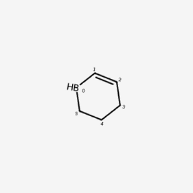 B1C=CCCC1